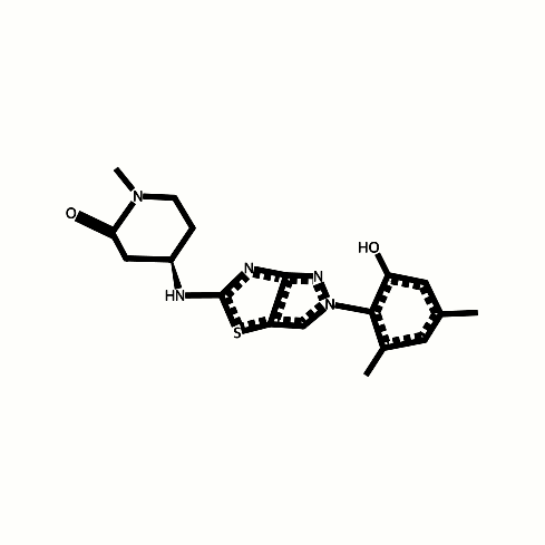 Cc1cc(C)c(-n2cc3sc(N[C@@H]4CCN(C)C(=O)C4)nc3n2)c(O)c1